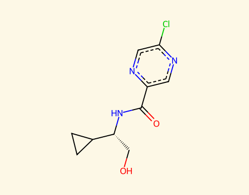 O=C(N[C@H](CO)C1CC1)c1cnc(Cl)cn1